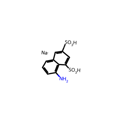 Nc1cccc2cc(S(=O)(=O)O)cc(S(=O)(=O)O)c12.[Na]